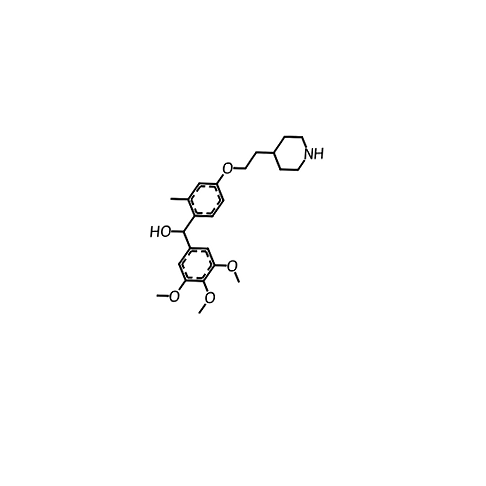 COc1cc(C(O)c2ccc(OCCC3CCNCC3)cc2C)cc(OC)c1OC